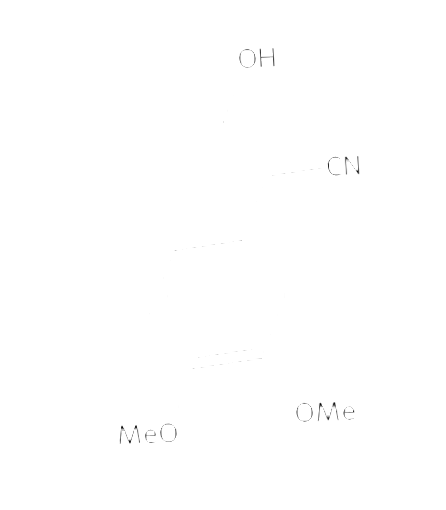 COc1ccc(C(C#N)=CO)cc1OC